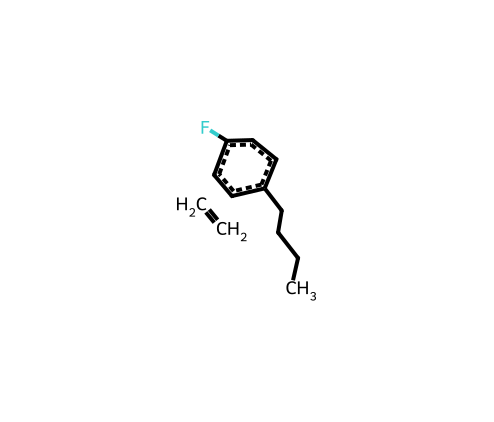 C=C.CCCCc1ccc(F)cc1